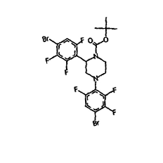 CC(C)(C)OC(=O)N1CCN(c2c(F)cc(Br)c(F)c2F)CC1c1c(F)cc(Br)c(F)c1F